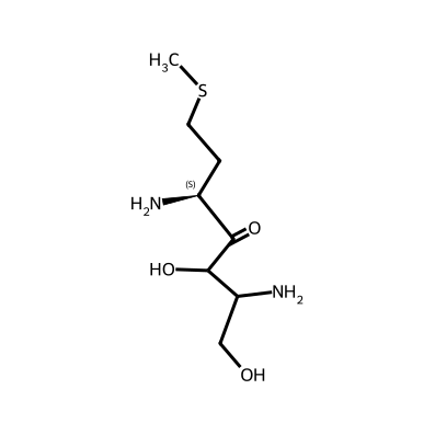 CSCC[C@H](N)C(=O)C(O)C(N)CO